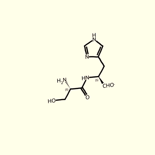 N[C@@H](CO)C(=O)N[C@H]([C]=O)Cc1c[nH]cn1